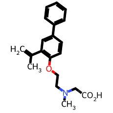 C=C(C)c1cc(-c2ccccc2)ccc1OCCN(C)CC(=O)O